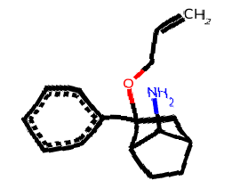 C=CCOC1(c2ccccc2)CC2CCC1C2N